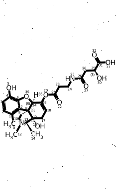 Cc1ccc(O)c2c1[C@]13CCN(C)[C@H](C)[C@]1(O)CC=C(OC(=O)CCNC(=O)C[C@H](O)C(=O)O)[C@@H]3O2